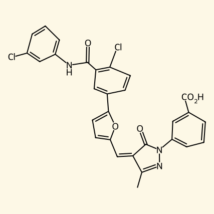 CC1=NN(c2cccc(C(=O)O)c2)C(=O)/C1=C\c1ccc(-c2ccc(Cl)c(C(=O)Nc3cccc(Cl)c3)c2)o1